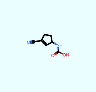 N#CC1=CC(NC(=O)O)CC1